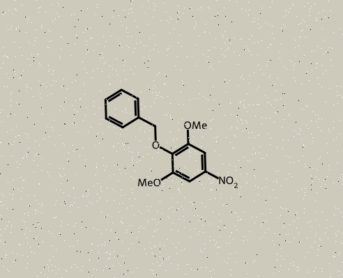 COc1cc([N+](=O)[O-])cc(OC)c1OCc1ccccc1